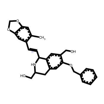 Cc1cc2c(cc1/C=C/C1NC(CO)Cc3cc(OCc4ccccc4)c(CO)cc31)OCO2